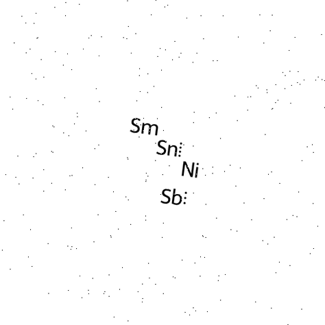 [Ni].[Sb].[Sm].[Sn]